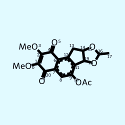 COC1=C(OC)C(=O)c2c(cc(OC(C)=O)c3c2CC2OC(C)OC32)C1=O